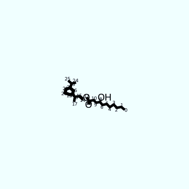 CCCCCCCC(O)CCC(=O)O/C=C/C(C)c1cccc(C(C)C)c1